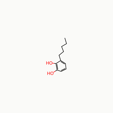 CCCCCc1cccc(O)c1O